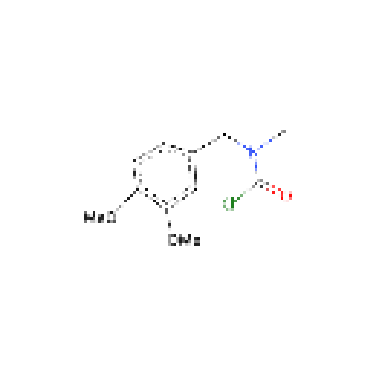 COc1ccc(CN(C)C(=O)Cl)cc1OC